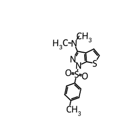 Cc1ccc(S(=O)(=O)n2nc(N(C)C)c3ccsc32)cc1